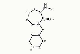 CNC1CSCCN(CC2CCOCC2)C1=O